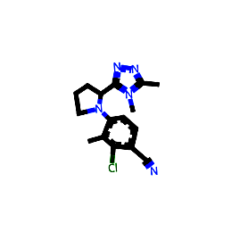 Cc1c(N2CCCC2c2nnc(C)n2C)ccc(C#N)c1Cl